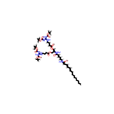 CCCCCCCCCCCCCCC(=O)NCCCCCC(=O)NC(COC(=O)CCCNC(=NC(=O)OC(C)(C)C)NC(=O)OC(C)(C)C)COC(=O)CCCNC(=NC(=O)OC(C)(C)C)NC(=O)OC(C)(C)C